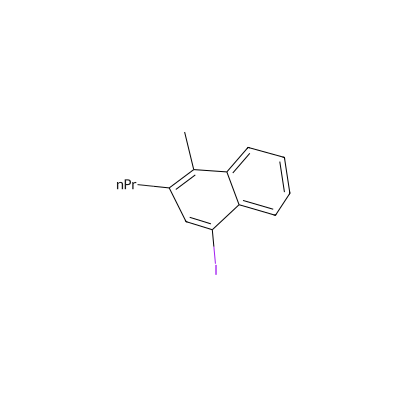 CCCc1cc(I)c2ccccc2c1C